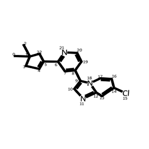 CC1(C)CC=C(c2cc(-c3cnc4cc(Cl)ccn34)ccn2)C1